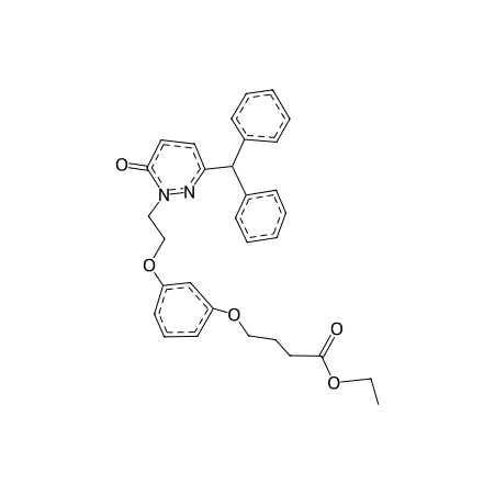 CCOC(=O)CCCOc1cccc(OCCn2nc(C(c3ccccc3)c3ccccc3)ccc2=O)c1